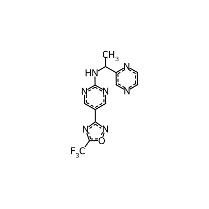 CC(Nc1ncc(-c2noc(C(F)(F)F)n2)cn1)c1cnccn1